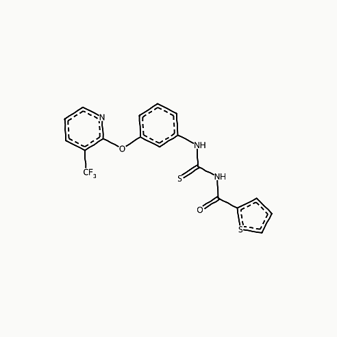 O=C(NC(=S)Nc1cccc(Oc2ncccc2C(F)(F)F)c1)c1cccs1